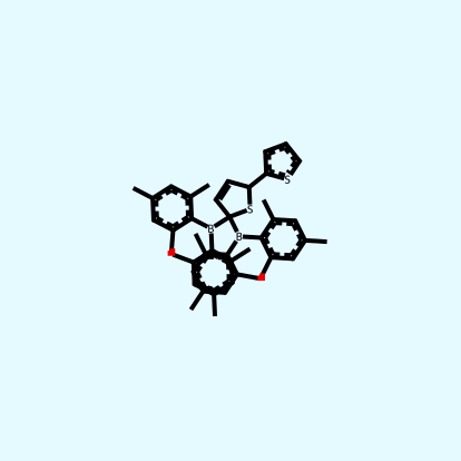 Cc1cc(C)c(B(c2c(C)cc(C)cc2C)C2(B(c3c(C)cc(C)cc3C)c3c(C)cc(C)cc3C)C=CC(c3cccs3)S2)c(C)c1